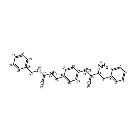 NC(Cc1ccccc1)C(=O)Nc1ccc(CNC(=O)OCc2ccccc2)cc1